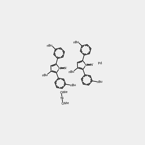 CCCCC1=C(c2cccc(CCCC)c2)[N+](=[N-])C(c2cccc(CCCC)c2)=C1.CCCCC1=C(c2cccc(CCCC)c2)[N+](=[N-])C(c2cccc(CCCC)c2)=C1.C[O][Ni][O]C.[Pd]